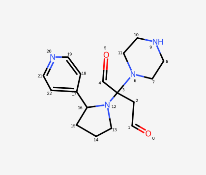 O=CCC(C=O)(N1CCNCC1)N1CCCC1c1ccncc1